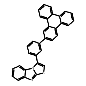 c1cc(-c2ccc3c4ccccc4c4ccccc4c3c2)cc(-c2csc3nc4ccccc4n23)c1